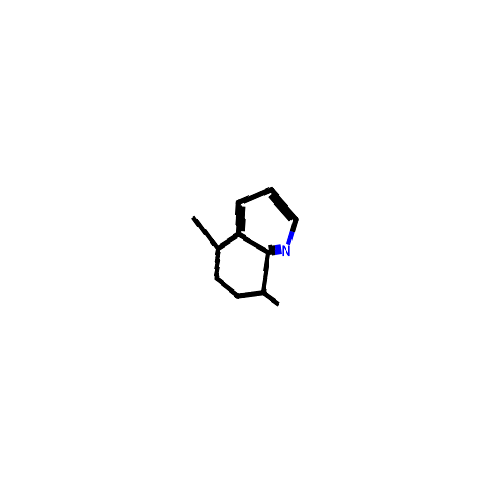 CC1CCC(C)c2ncccc21